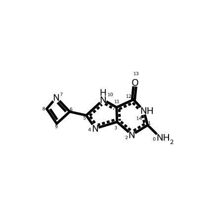 Nc1nc2nc(C3=NC=C3)[nH]c2c(=O)[nH]1